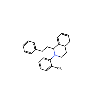 Cc1ccccc1N1CCC2CC=CC=C2C1CCc1ccccc1